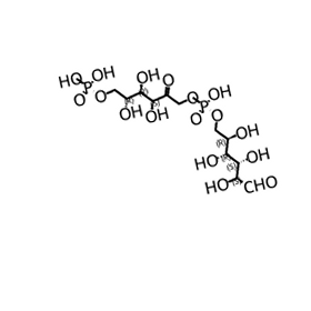 O=C[C@@H](O)[C@@H](O)[C@H](O)[C@H](O)COP(=O)(O)OCC(=O)[C@@H](O)[C@H](O)[C@H](O)COP(=O)(O)O